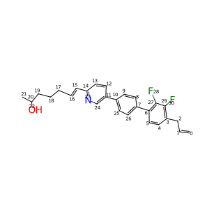 C=CCc1ccc(-c2ccc(-c3ccc(/C=C/CCCC(C)O)nc3)cc2)c(F)c1F